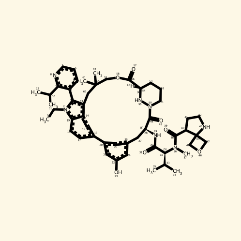 CCn1c(-c2cccnc2C(C)C)c2c3cc(ccc31)-c1cc(O)cc(c1)C[C@H](NC(=O)[C@H](C(C)C)N(C)C(=O)C1CCNC13COC3)C(=O)N1CCC[C@H](N1)C(=O)OCC(C)(C)C2